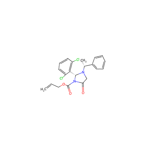 C=CCOC(=O)N1C(=O)CN([C@H](C)c2ccccc2)[C@H]1c1c(Cl)cccc1Cl